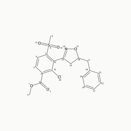 COC(=O)c1ccc(S(C)(=O)=O)c(C2=NOC(Cc3ccccc3)C2)c1Cl